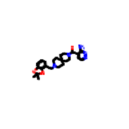 CC1(C)Oc2cccc(CN3CCC4(CC3)CCN(C(=O)c3ccnnc3N)CC4)c2O1